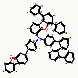 c1ccc(-c2ccccc2-c2ccccc2-c2ccc(N(c3ccc(-c4ccc5c(c4)oc4ccccc45)cc3)c3cccc4c3oc3c(-c5ccccc5)ccc(-c5ccccc5)c34)cc2)cc1